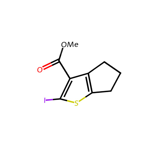 COC(=O)c1c(I)sc2c1CCC2